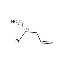 C=CC[C@@H](C(=O)O)C(C)C